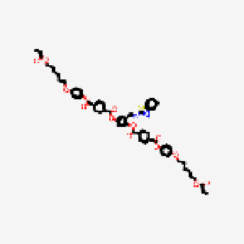 C=CC(=O)OCCCCCCOc1ccc(OC(=O)C2CCC(C(=O)Oc3ccc(OC(=O)C4CCC(C(=O)Oc5ccc(OCCCCCCOC(=O)C=C)cc5)CC4)c(/C=N/c4nc5ccccc5s4)c3)CC2)cc1